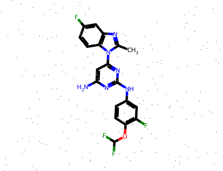 Cc1nc2cc(F)ccc2n1-c1cc(N)nc(Nc2ccc(OC(F)F)c(F)c2)n1